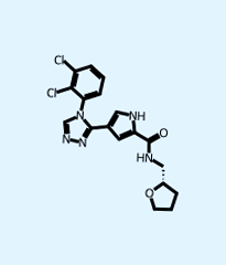 O=C(NC[C@@H]1CCCO1)c1cc(-c2nncn2-c2cccc(Cl)c2Cl)c[nH]1